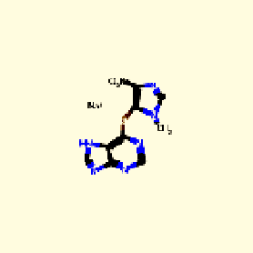 Cn1cnc([N+](=O)[O-])c1Sc1ncnc2nc[nH]c12.[Na+]